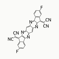 N#CC(C#N)=C1c2cc(F)ccc2-c2nc3cc4nc5c(nc4cc3nc21)-c1ccc(F)cc1C5=C(C#N)C#N